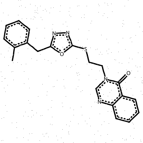 Cc1ccccc1Cc1nnc(SCCn2cnc3ccccc3c2=O)o1